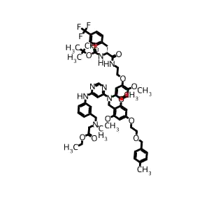 CCOC(=O)CN(C)Cc1cccc(Nc2cc(N(Cc3c(OC)cc(OCCOCc4ccc(C)cc4)cc3OC)c3ccc(OC)c(OCCNC(=O)[C@@H](Cc4ccc(C(F)(F)F)cc4)NC(=O)OC(C)(C)C)c3)ncn2)c1